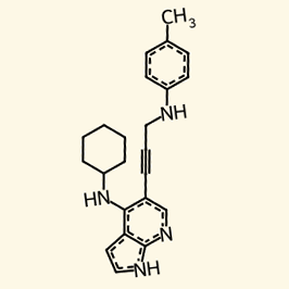 Cc1ccc(NCC#Cc2cnc3[nH]ccc3c2NC2CCCCC2)cc1